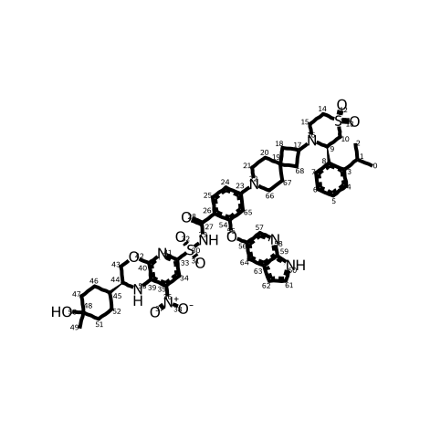 CC(C)c1ccccc1[C@@H]1CS(=O)(=O)CCN1C1CC2(CCN(c3ccc(C(=O)NS(=O)(=O)c4cc([N+](=O)[O-])c5c(n4)OC[C@H](C4CCC(C)(O)CC4)N5)c(Oc4cnc5[nH]ccc5c4)c3)CC2)C1